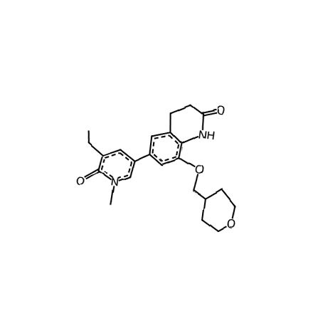 CCc1cc(-c2cc3c(c(OCC4CCOCC4)c2)NC(=O)CC3)cn(C)c1=O